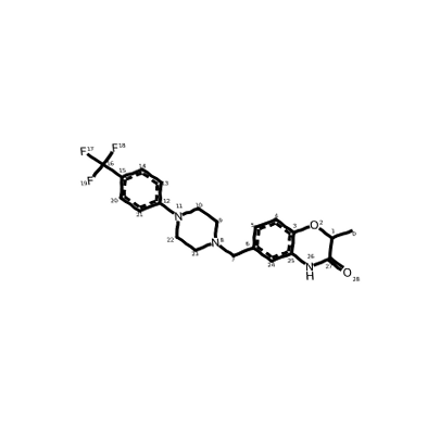 CC1Oc2ccc(CN3CCN(c4ccc(C(F)(F)F)cc4)CC3)cc2NC1=O